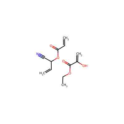 C=C(O)C(=O)OCC.C=CC(=O)OC(C#N)C=C